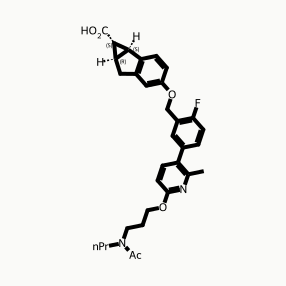 CCCN(CCCOc1ccc(-c2ccc(F)c(COc3ccc4c(c3)C[C@H]3[C@H](C(=O)O)[C@@H]43)c2)c(C)n1)C(C)=O